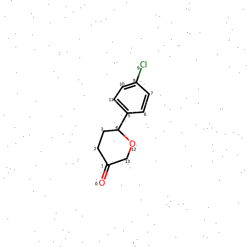 O=C1CCC(c2ccc(Cl)cc2)OC1